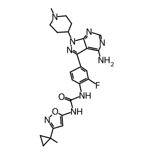 CN1CCC(n2nc(-c3ccc(NC(=O)Nc4cc(C5(C)CC5)no4)c(F)c3)c3c(N)ncnc32)CC1